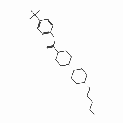 CCCCC[C@H]1CC[C@H](C2CCC(C(=O)Oc3ccc(C(F)(F)F)cc3)CC2)CC1